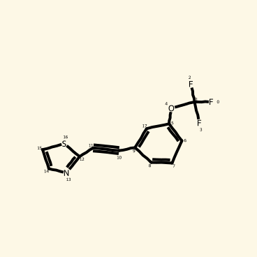 FC(F)(F)Oc1cccc(C#Cc2nccs2)c1